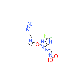 [N-]=[N+]=NCCCN1CCCC1COc1nc(N2CCN(C(=O)O)CC2)c2cnc(Cl)c(F)c2n1